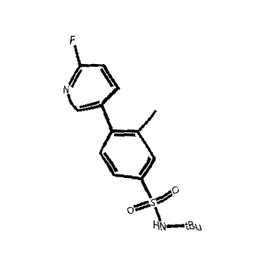 Cc1cc(S(=O)(=O)NC(C)(C)C)ccc1-c1ccc(F)nc1